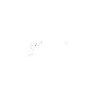 CCCCCCCCCCCCCC(=O)N[C@@H](CC(=O)OCCCCCCCCCCCCCCCC(C)C)C(=O)O